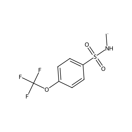 [CH2]NS(=O)(=O)c1ccc(OC(F)(F)F)cc1